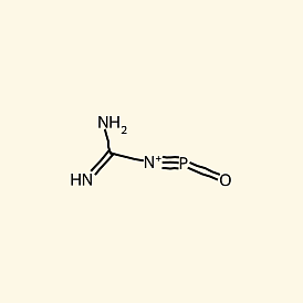 N=C(N)[N+]#P=O